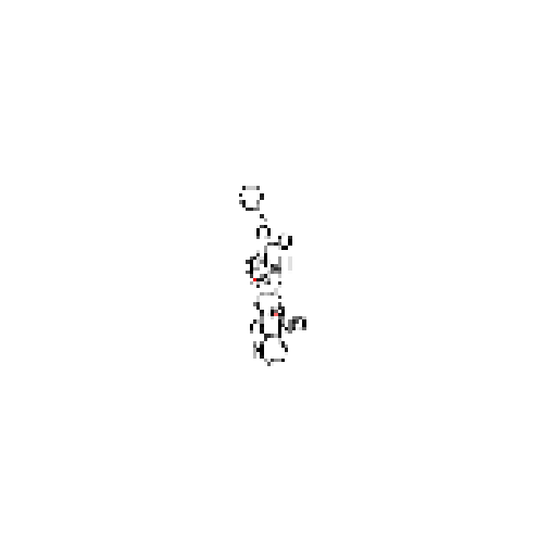 O=C(OCc1ccccc1)N1CC[C@]23CCCC[C@H]2[C@H]1Cc1ccc(Oc2ncccc2[N+](=O)[O-])cc13